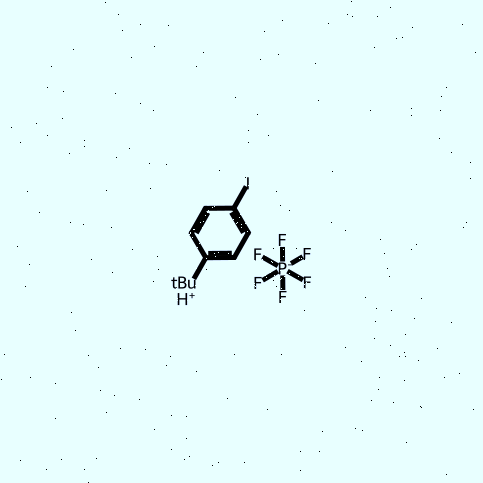 CC(C)(C)c1ccc(I)cc1.F[P-](F)(F)(F)(F)F.[H+]